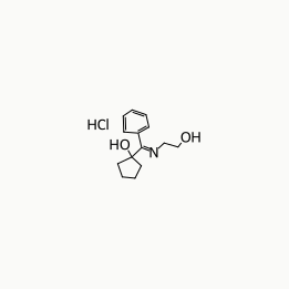 Cl.OCCN=C(c1ccccc1)C1(O)CCCC1